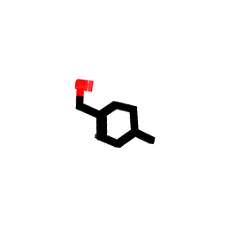 CC1C[C]=C(CO)CC1